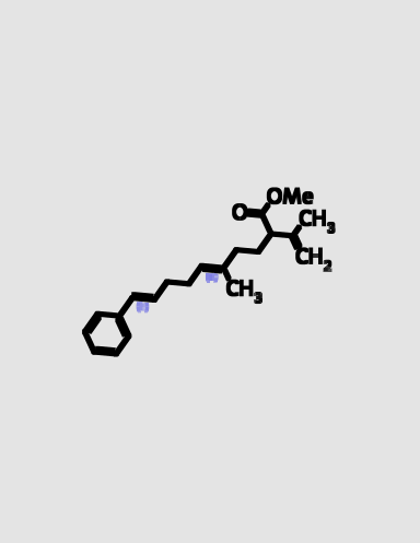 C=C(C)C(CC/C(C)=C/CC/C=C/c1ccccc1)C(=O)OC